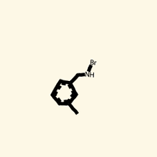 Cc1cccc(CNBr)c1